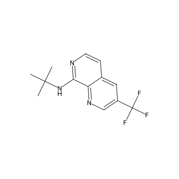 CC(C)(C)Nc1nccc2cc(C(F)(F)F)cnc12